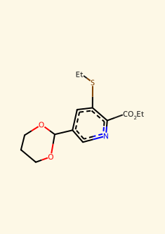 CCOC(=O)c1ncc(C2OCCCO2)cc1SCC